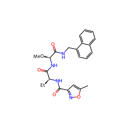 CC[C@H](NC(=O)c1cc(C)on1)C(=O)N[C@@H](OC)C(=O)NCc1cccc2ccccc12